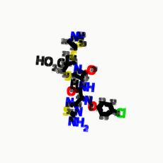 Nc1nc(C(=NOc2ccc(Cl)cc2)C(=O)NC2C(=O)N3CC(CSc4cnns4)(C(=O)O)CS[C@H]23)ns1